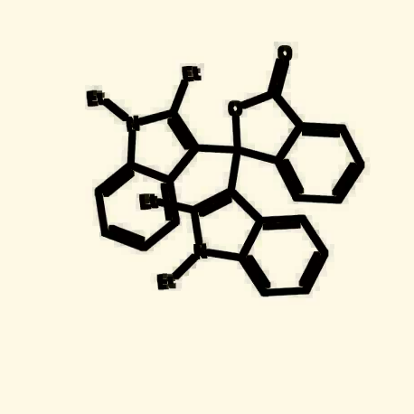 CCc1c(C2(c3c(CC)n(CC)c4ccccc34)OC(=O)c3ccccc32)c2ccccc2n1CC